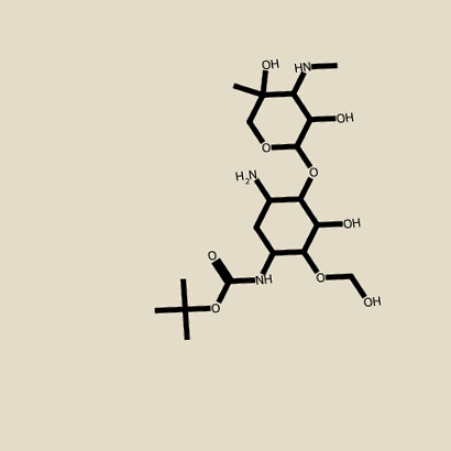 CNC1C(O)C(OC2C(N)CC(NC(=O)OC(C)(C)C)C(OCO)C2O)OCC1(C)O